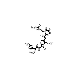 CON=C(C(=O)NC1C(=O)N2C(C(=O)O)=C(C=C(S)c3n[nH]c(=O)c(=O)n3CCNC(=O)OC)CSC12)c1csc(N)n1